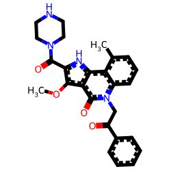 COc1c(C(=O)N2CCNCC2)[nH]c2c1c(=O)n(CC(=O)c1ccccc1)c1cccc(C)c21